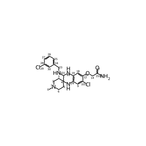 CN1CCC2(CC1)Nc1cc(Cl)c(OCC(N)=O)cc1NC2NCc1cccc(Cl)c1